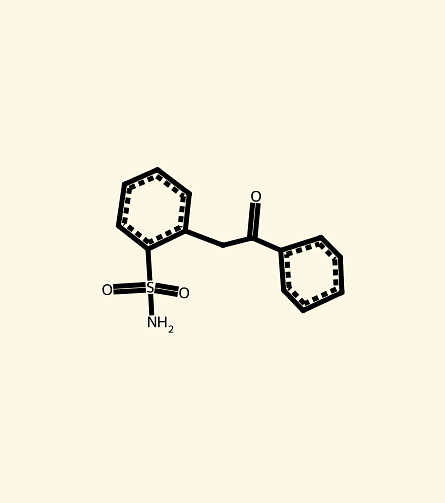 NS(=O)(=O)c1ccccc1CC(=O)c1ccccc1